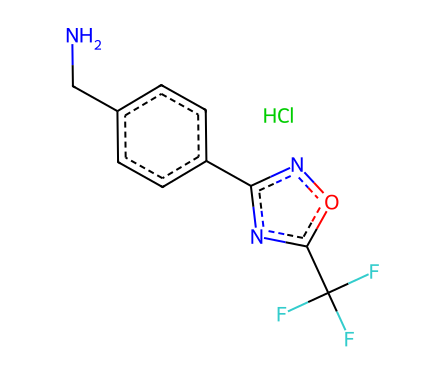 Cl.NCc1ccc(-c2noc(C(F)(F)F)n2)cc1